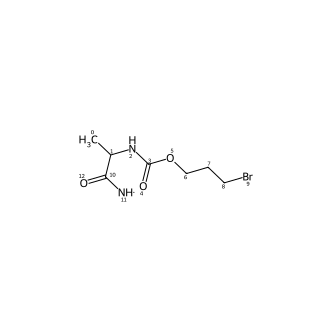 CC(NC(=O)OCCCBr)C([NH])=O